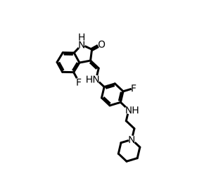 O=C1Nc2cccc(F)c2/C1=C\Nc1ccc(NCCN2CCCCC2)c(F)c1